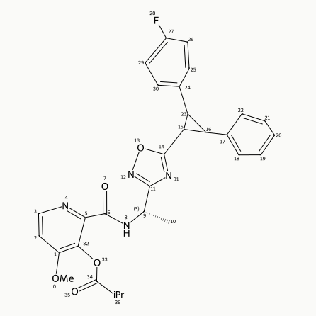 COc1ccnc(C(=O)N[C@@H](C)c2noc(C3C(c4ccccc4)C3c3ccc(F)cc3)n2)c1OC(=O)C(C)C